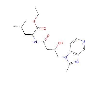 CCOC(=O)[C@H](CC(C)C)NC(=O)CC(O)Cn1c(C)nc2cnccc21